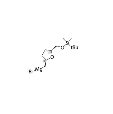 CC(C)(C)[Si](C)(C)OC[C@@H]1CC[C@H]([CH2][Mg][Br])O1